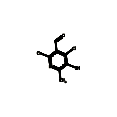 Cc1nc(Cl)c(C=O)c(Cl)c1S